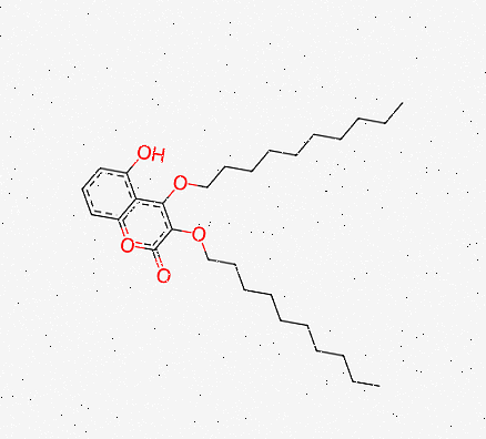 CCCCCCCCCCOc1c(OCCCCCCCCCC)c2c(O)cccc2oc1=O